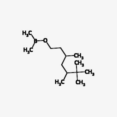 CB(C)OCCC(C)CC(C)C(C)(C)C